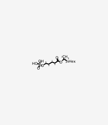 CCCCCCC(C)OC(=O)CCCCOP(=O)(O)O